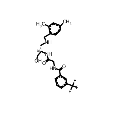 Cc1ccc(CNC[C@@H](CO)NC(=O)CNC(=O)c2cccc(C(F)(F)F)c2)c(C)c1